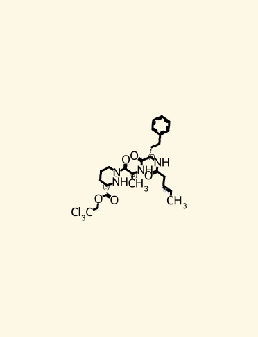 C/C=C/CC(=O)N[C@@H](CCc1ccccc1)C(=O)N[C@@H](C)C(=O)N1CCC[C@@H](C(=O)OCC(Cl)(Cl)Cl)N1